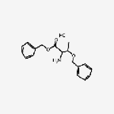 CC(OCc1ccccc1)C(N)C(=O)OCc1ccccc1.Cl